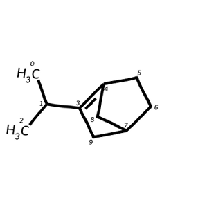 CC(C)C1=C2CCC(C2)C1